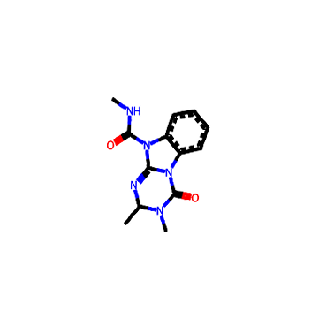 CNC(=O)N1C2=NC(C)N(C)C(=O)N2c2ccccc21